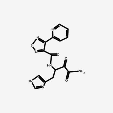 NC(=O)C(=O)C(Cc1c[nH]cn1)NC(=O)c1nsnc1-c1ccccn1